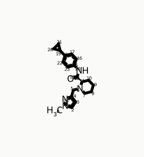 Cn1ccc(CN2CCCC[C@@H]2C(=O)Nc2ccc(C3CC3)cc2)n1